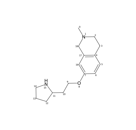 CN1CCc2ccc(OCCC3CCCN3)cc2C1